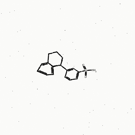 NS(=O)(=O)c1cccc(C2CCCc3ccccc32)c1